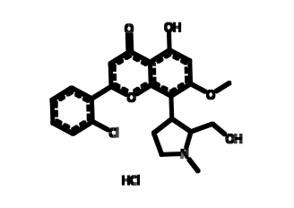 COc1cc(O)c2c(=O)cc(-c3ccccc3Cl)oc2c1C1CCN(C)C1CO.Cl